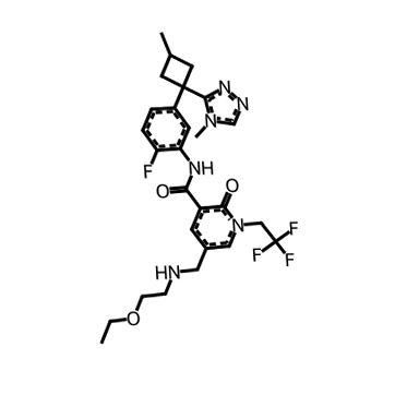 CCOCCNCc1cc(C(=O)Nc2cc(C3(c4nncn4C)CC(C)C3)ccc2F)c(=O)n(CC(F)(F)F)c1